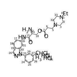 CCN1CCN(CCC(=O)OC[C@H](N)C(=O)Nc2ccc3cnn(-c4cccc(C)c4)c3c2)CC1.Cl.Cl.Cl